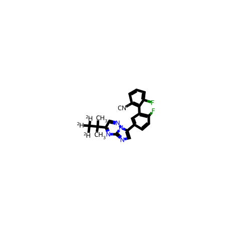 [2H]C([2H])([2H])C(C)(C)c1cnn2c(-c3ccc(F)c(-c4c(F)cccc4[N+]#[C-])c3)cnc2n1